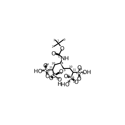 CC(C)(C)OC(=O)N[C@@H](CCC(S(=O)(=O)O)S(=O)(=O)O)CC(S(=O)(=O)O)S(=O)(=O)O